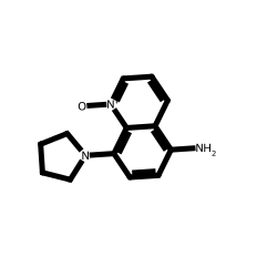 Nc1ccc(N2CCCC2)c2c1ccc[n+]2[O-]